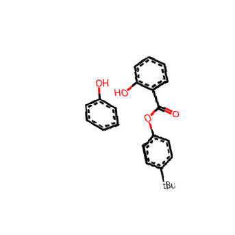 CC(C)(C)c1ccc(OC(=O)c2ccccc2O)cc1.Oc1ccccc1